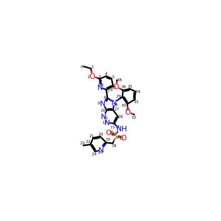 CCOc1cccc(-c2nc3nnc(NS(=O)(=O)Cc4ccc(C)cn4)cc3n2-c2c(OC)cccc2OC)n1